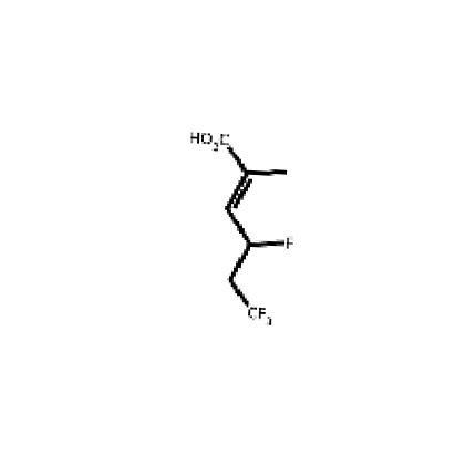 CC(=CC(F)CC(F)(F)F)C(=O)O